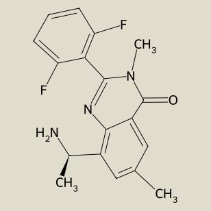 Cc1cc([C@@H](C)N)c2nc(-c3c(F)cccc3F)n(C)c(=O)c2c1